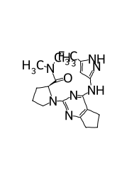 CN(C)C(=O)[C@@H]1CCCN1c1nc2c(c(Nc3cc(C(F)(F)F)[nH]n3)n1)CCC2